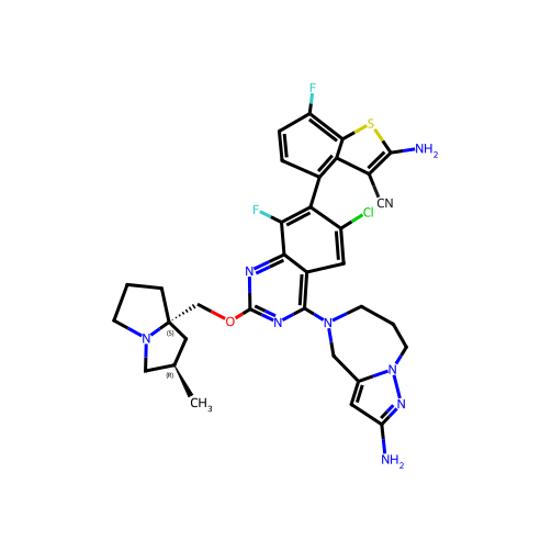 C[C@H]1CN2CCC[C@@]2(COc2nc(N3CCCn4nc(N)cc4C3)c3cc(Cl)c(-c4ccc(F)c5sc(N)c(C#N)c45)c(F)c3n2)C1